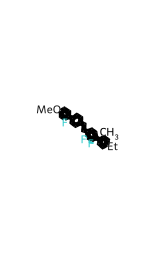 CCc1ccc(-c2ccc(CCC3CCC(c4ccc(OC)cc4F)CC3)c(F)c2F)c(C)c1